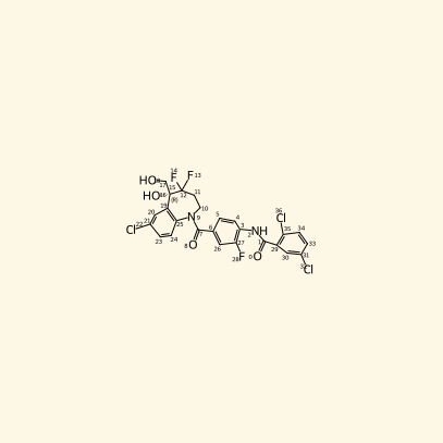 O=C(Nc1ccc(C(=O)N2CCC(F)(F)[C@](O)(CO)c3cc(Cl)ccc32)cc1F)c1cc(Cl)ccc1Cl